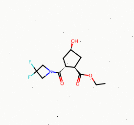 CCOC(=O)[C@@H]1C[C@H](O)C[C@H]1C(=O)N1CC(F)(F)C1